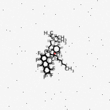 CCCCCCC(C)(C)C[Si](CCC[Si](CC)(CC)CC)(Oc1c(F)c(F)c2c(F)c3[c]c(F)c(F)c(F)c3c(F)c2c1F)C1CCCCC1